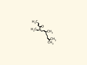 C=CN(C/C=C(/C)CCC=C(C)C)C(=O)/C=C/C